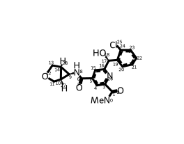 CNC(=O)c1cc(C(=O)N[C@H]2[C@@H]3COC[C@@H]32)cc([C@@H](O)c2ccccc2Cl)n1